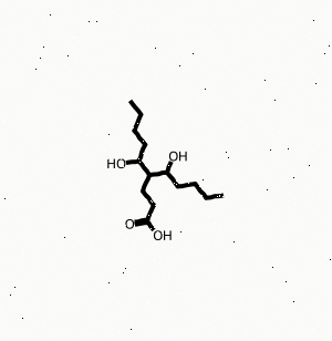 CCCCC(O)C(CCC(=O)O)C(O)CCCC